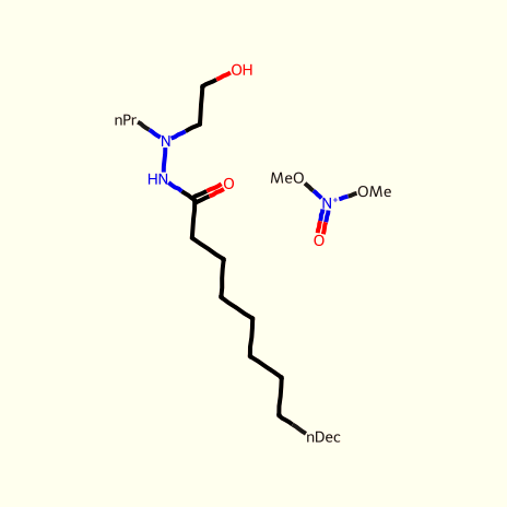 CCCCCCCCCCCCCCCCCC(=O)NN(CCC)CCO.CO[N+](=O)OC